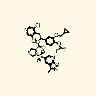 Cc1noc2ncc(S(=O)(=O)N3CSC[C@H]3C(=O)O[C@@H](Cc3c(Cl)cncc3Cl)c3ccc(OC(F)F)c(OCC4CC4)c3)cc12